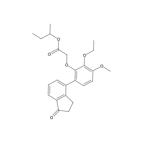 CCOc1c(OC)ccc(-c2cccc3c2CCC3=O)c1OCC(=O)OC(C)CC